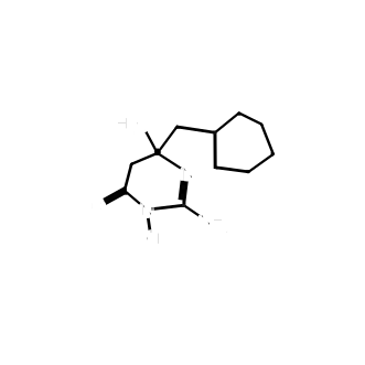 CN1C(=O)CC(C)(CC2CCCCC2)N=C1N